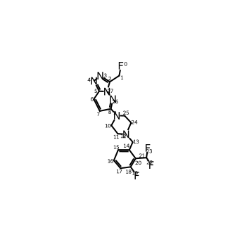 FCc1nnc2ccc(N3CCN(Cc4cccc(F)c4C(F)F)CC3)nn12